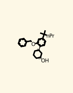 CCCC(C)(C)c1ccc([C@@H]2CCC[C@@H](O)C2)c(OCc2ccccc2)c1